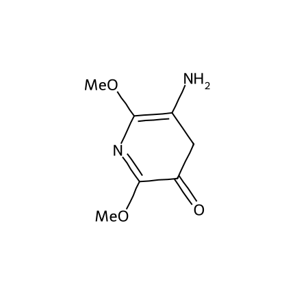 COC1=NC(OC)=C(N)CC1=O